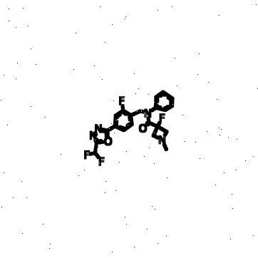 CN1CC(F)(C(=O)N(Cc2ccc(-c3nnc(C(F)F)o3)cc2F)c2ccccc2)C1